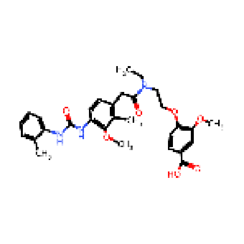 CCN(CCOc1ccc(C(=O)O)cc1OC)C(=O)Cc1ccc(NC(=O)Nc2ccccc2C)c(OC)c1C